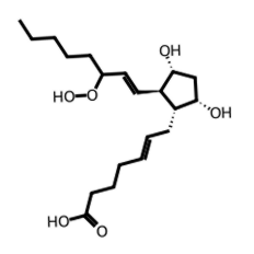 CCCCCC(/C=C/[C@@H]1[C@@H](C/C=C/CCCC(=O)O)[C@@H](O)C[C@H]1O)OO